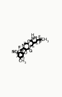 Cc1cc(C#N)cc(OC2=C(C(C)(F)F)N=CCN(Cc3cc(C(C)(F)F)n[nH]c3=O)C2=O)c1